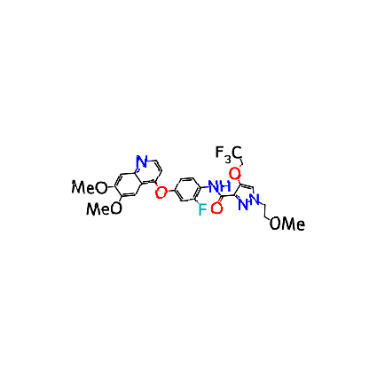 COCCn1cc(OCC(F)(F)F)c(C(=O)Nc2ccc(Oc3ccnc4cc(OC)c(OC)cc34)cc2F)n1